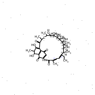 CC/C1=C/C=C(/C)C(=O)NC2=CC(=O)C3=C(C2=O)C(O)C(C)C(O)=C3C(=O)C(C)CC(C)[C@H](O)[C@@H](C)[C@@H](O)[C@H](C)[C@H](O)[C@H](C)[C@@H](O)[C@H]1C